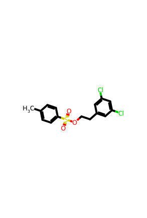 Cc1ccc(S(=O)(=O)OCCc2cc(Cl)cc(Cl)c2)cc1